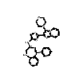 c1ccc(C2=N[C@H](Nc3nnc(-c4nc5ccccn5c4N4CCOCC4)o3)CNc3ccccc32)cc1